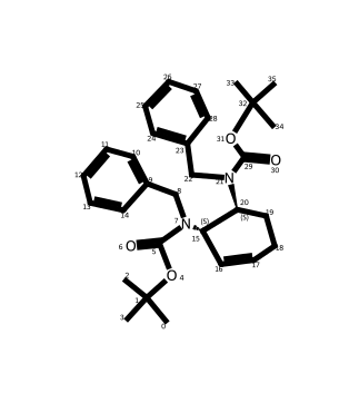 CC(C)(C)OC(=O)N(Cc1ccccc1)[C@H]1C=CCC[C@@H]1N(Cc1ccccc1)C(=O)OC(C)(C)C